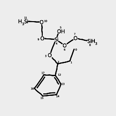 CCC(O[Si](O)(OO[SiH3])OO[SiH3])c1ccccc1